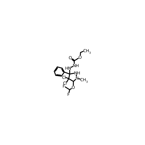 CCOC(=O)NNC1(c2ccccc2)NN(C)C(OC(F)F)C1(Cl)Cl